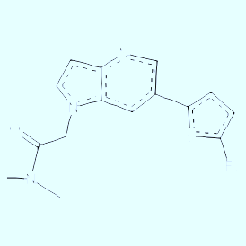 CCc1ccc(-c2cnc3ccn(CC(=O)N(C)C)c3c2)s1